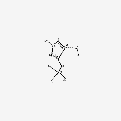 CCc1cn(C)nc1CC(C)(C)C